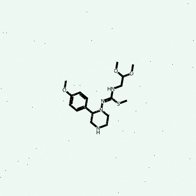 COc1ccc(C2CNCCN2N=C(NCC(OC)OC)SC)cc1